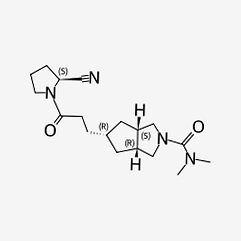 CN(C)C(=O)N1C[C@H]2C[C@@H](CCC(=O)N3CCC[C@H]3C#N)C[C@H]2C1